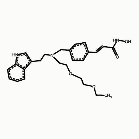 CCOCCOCCN(CCc1c[nH]c2ccccc12)Cc1ccc(/C=C/C(=O)NO)cc1